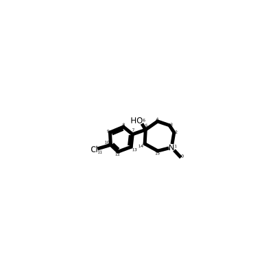 CN1CCCC(O)(c2ccc(Cl)cc2)CC1